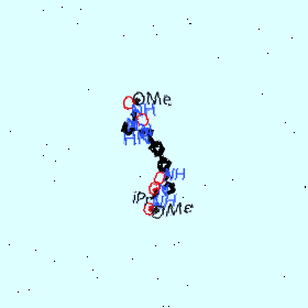 COC(=O)NCC(=O)N1CCC[C@H]1c1ncc(-c2ccc(-c3ccc(NC(=O)[C@@H]4CCCN4C(=O)[C@@H](NC(=O)OC)C(C)C)cc3)cc2)[nH]1